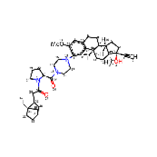 C#C[C@@]1(O)CC[C@H]2[C@@H]3CCc4cc(OC)c(N5CCN(C(=O)[C@@H]6CCCN6C(=O)CC6CC7CC[C@@H]6C7)CC5)cc4[C@H]3CC[C@@]21C